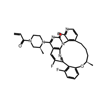 C=CC(=O)N1CCN(c2nc(=O)n3c4nc(c(F)cc24)-c2c(F)cccc2O[C@H](C)CCCc2ccnc(C(C)C)c2-3)[C@@H](C)C1